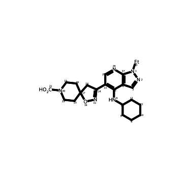 CCn1ncc2c(NC3CCCCC3)c(C3=NOC4(CCN(C(=O)O)CC4)C3)cnc21